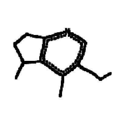 CCc1cnc2c(c1C)C(C)CC2